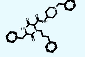 O=C(NC1CCN(Cc2ccccc2)CC1)C1C(=O)NC(Cc2ccccc2)C(=O)N1CCCc1ccccc1